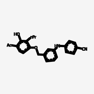 CCCc1c(OCc2cccc(Nc3ccc(C#N)cc3)c2)ccc(C(C)=O)c1O